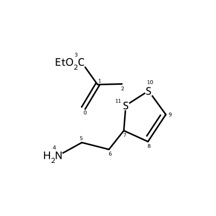 C=C(C)C(=O)OCC.NCCC1C=CSS1